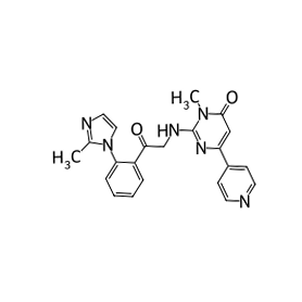 Cc1nccn1-c1ccccc1C(=O)CNc1nc(-c2ccncc2)cc(=O)n1C